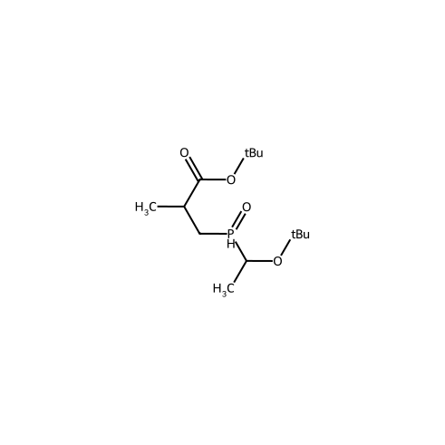 CC(C[PH](=O)C(C)OC(C)(C)C)C(=O)OC(C)(C)C